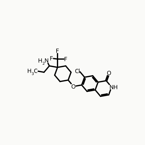 CCC(N)C1(C(F)(F)F)CCC(Oc2cc3cc[nH]c(=O)c3cc2Cl)CC1